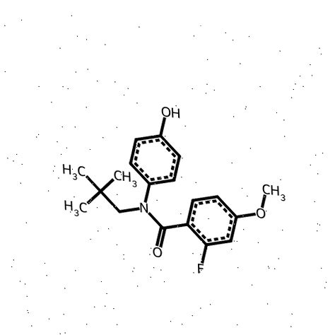 COc1ccc(C(=O)N(CC(C)(C)C)c2ccc(O)cc2)c(F)c1